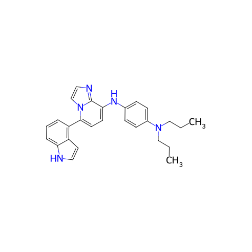 CCCN(CCC)c1ccc(Nc2ccc(-c3cccc4[nH]ccc34)n3ccnc23)cc1